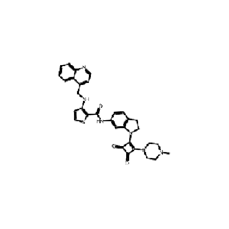 CN1CCN(c2c(N3CCc4ccc(NC(=O)c5sccc5NCc5ccnc6ccccc56)cc43)c(=O)c2=O)CC1